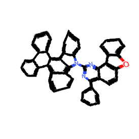 c1ccc(-c2nc(-n3c4ccccc4c4c5c6ccccc6c6ccccc6c5c5ccccc5c43)nc3c2ccc2oc4ccccc4c23)cc1